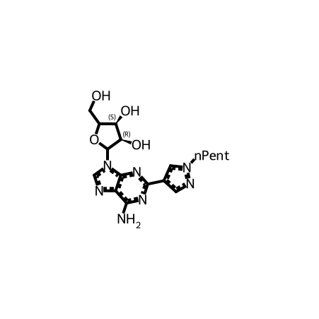 CCCCCn1cc(-c2nc(N)c3ncn(C4OC(CO)[C@@H](O)[C@H]4O)c3n2)cn1